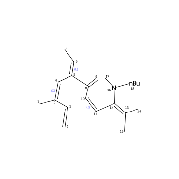 C=C/C(C)=C\C(=C/C)C(=C)/C=C\C(=C(C)C)N(C)CCCC